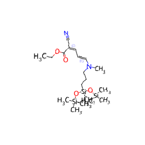 CCOC(=O)/C(C#N)=C\C=C\N(C)CCC[Si](C)(O[Si](C)(C)C)O[Si](C)(C)C